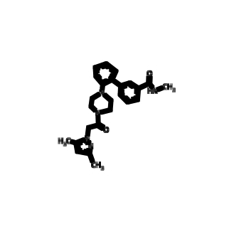 CNC(=O)c1cccc(-c2ccccc2N2CCN(C(=O)Cn3nc(C)cc3C)CC2)c1